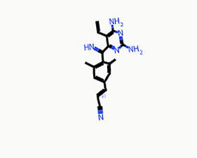 C=Cc1c(N)nc(N)nc1C(=N)c1c(C)cc(/C=C/C#N)cc1C